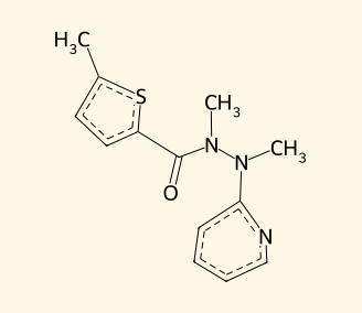 Cc1ccc(C(=O)N(C)N(C)c2ccccn2)s1